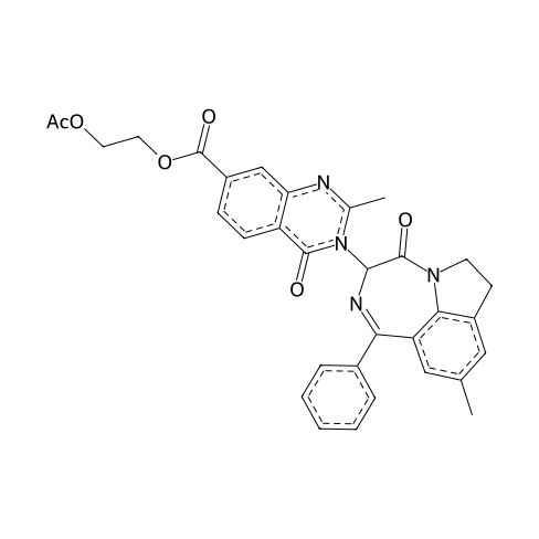 CC(=O)OCCOC(=O)c1ccc2c(=O)n(C3N=C(c4ccccc4)c4cc(C)cc5c4N(CC5)C3=O)c(C)nc2c1